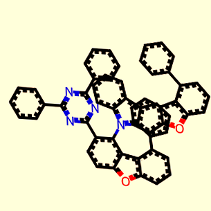 c1ccc(-c2nc(-c3ccccc3)nc(-c3ccc4oc5cccc(-c6cccc7c6oc6cccc(-c8ccccc8)c67)c5c4c3-n3c4ccccc4c4ccccc43)n2)cc1